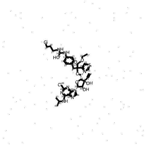 C#C[C@@]1(O)[C@@H](COC(Cc2ccc(NC(O)NCCCCl)cc2)(C(=O)OCC)c2cscn2)O[C@@H](n2cnc3c(NC(C)C)nc(Cl)nc32)[C@@H]1O